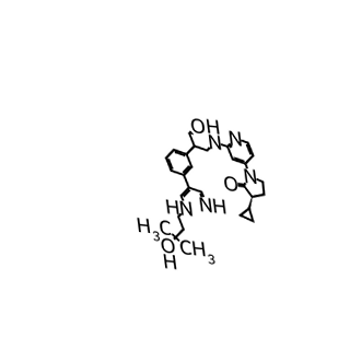 CC(C)(O)CCN/C=C(\C=N)c1cccc(C(C=O)CNc2cc(N3CC[C@@H](C4CC4)C3=O)ccn2)c1